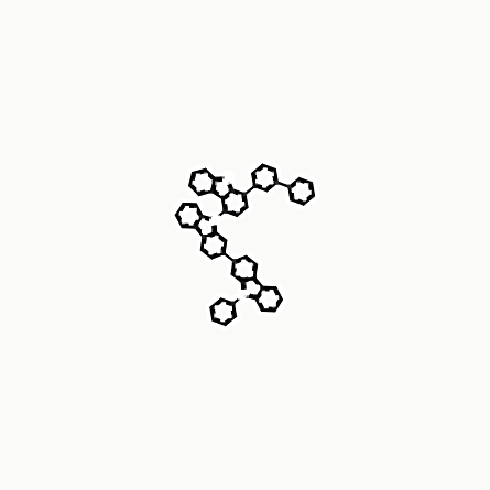 c1ccc(-c2cccc(-c3ccc(-n4c5ccccc5c5ccc(-c6ccc7c8ccccc8n(-c8ccccc8)c7c6)cc54)c4c3oc3ccccc34)c2)cc1